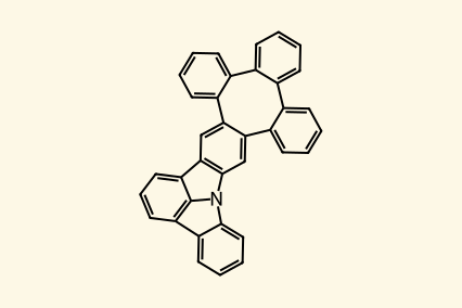 c1ccc2c(c1)-c1ccccc1-c1cc3c4cccc5c6ccccc6n(c3cc1-c1ccccc1-2)c54